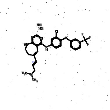 CN(C)C/C=C/C1=Cc2c(ncnc2Nc2ccc(Oc3cccc(C(F)(F)F)c3)c(Cl)c2)NCC1.Cl.Cl